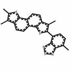 Cc1sc2c(ccc3c2ccc2c(C)c(-c4ccc(C)c5nsnc45)sc23)c1C